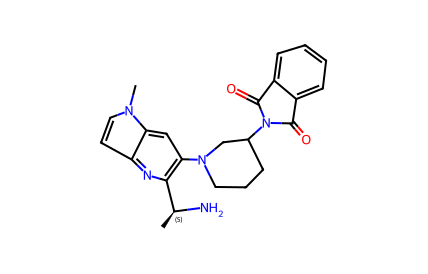 C[C@H](N)c1nc2ccn(C)c2cc1N1CCCC(N2C(=O)c3ccccc3C2=O)C1